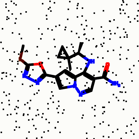 CSc1nnc(-c2cc3c(N[C@H](C)C4(C)CC4)c(C(N)=O)cnn3c2)o1